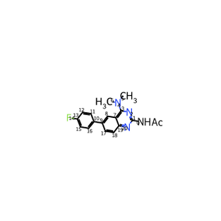 CC(=O)Nc1nc(N(C)C)c2cc(-c3ccc(F)cc3)ccc2n1